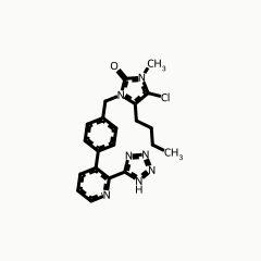 CCCCc1c(Cl)n(C)c(=O)n1Cc1ccc(-c2cccnc2-c2nnn[nH]2)cc1